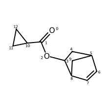 O=C(OC1CC2C=CC1C2)C1CC1